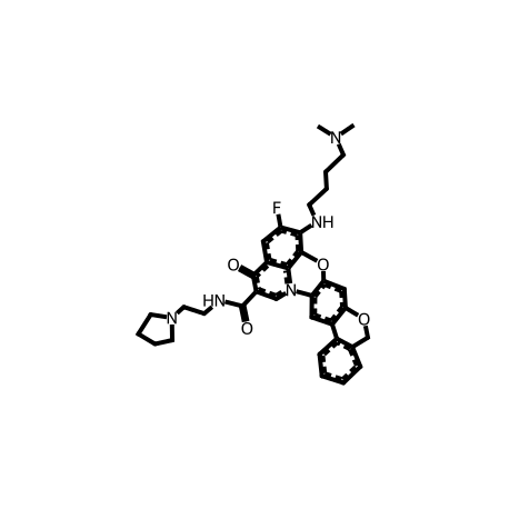 CN(C)CCCCNc1c(F)cc2c(=O)c(C(=O)NCCN3CCCC3)cn3c2c1Oc1cc2c(cc1-3)-c1ccccc1CO2